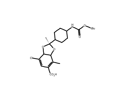 CC1=C(C(=O)O)C=C(Cl)C2O[C@@](C)(C3CCC(NC(=O)OC(C)(C)C)CC3)OC12